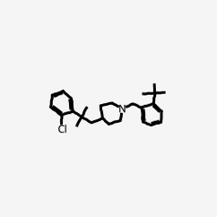 CC(C)(C)c1ccccc1CN1CCC(CC(C)(C)c2ccccc2Cl)CC1